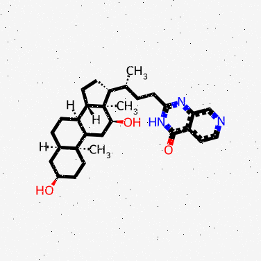 C[C@H](CCc1nc2cnccc2c(=O)[nH]1)[C@H]1CC[C@H]2[C@@H]3CC[C@@H]4C[C@H](O)CC[C@]4(C)C3C[C@H](O)[C@]12C